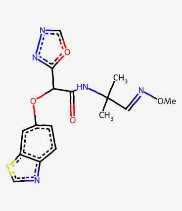 CO/N=C/C(C)(C)NC(=O)C(Oc1ccc2ncsc2c1)c1nnco1